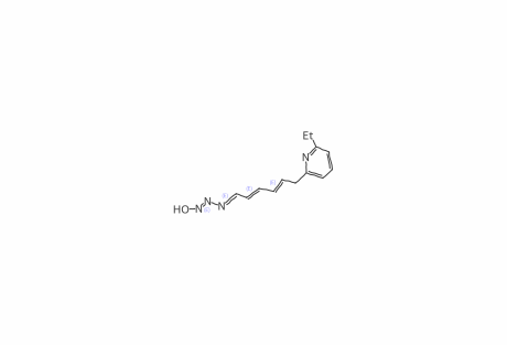 CCc1cccc(C/C=C/C=C/C=N/N=N/O)n1